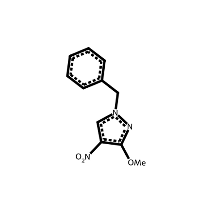 COc1nn(Cc2ccccc2)cc1[N+](=O)[O-]